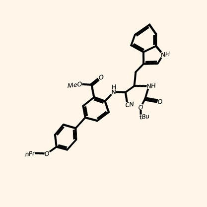 CCCOc1ccc(-c2ccc(NC(C#N)C(Cc3c[nH]c4ccccc34)NC(=O)OC(C)(C)C)c(C(=O)OC)c2)cc1